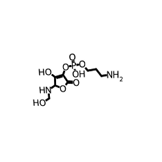 NCCCOP(=O)(O)OC1=C(O)C(NCO)OC1=O